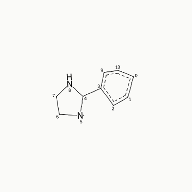 c1ccc(C2[N]CCN2)cc1